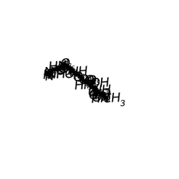 CNC(=O)CC[C@H](NC(=O)CC[C@H](NC(=O)COCCOCCNC(=O)CCCS(=O)(=O)NC(=O)CCCc1nnn[nH]1)C(=O)O)C(=O)O